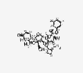 C#C[C@@]1(O)[C@H](O)[C@@H](COP(=O)(N[C@@H](C)C(=O)OC2CCC2)Oc2ccccc2)O[C@H]1N1C=CC(=O)NC1=C